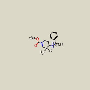 CCC1(C)CN(C(=O)OC(C)(C)C)CCC1N[C@H](C)c1ccccc1